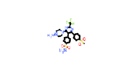 CS(=O)(=O)c1ccc(-c2nc(C(F)(F)F)nc(N3CCN(N)CC3)c2-c2ccc(S(N)(=O)=O)cc2)cc1